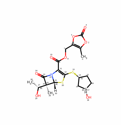 Cc1oc(=O)oc1COC(=O)C1=C(S[C@H]2CC[Si@@H](O)C2)S[C@H]2N1C(=O)[C@]2(C)[C@@H](C)O